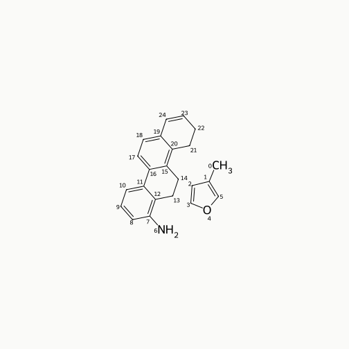 Cc1ccoc1.Nc1cccc2c1CCc1c-2ccc2c1CCC=C2